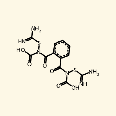 N=C(N)SN(C(=O)O)C(=O)c1ccccc1C(=O)N(SC(=N)N)C(=O)O